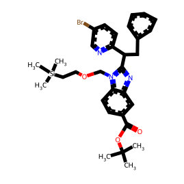 CC(C)(C)OC(=O)c1ccc2c(c1)nc(C(Cc1ccccc1)c1ccc(Br)cn1)n2COCC[Si](C)(C)C